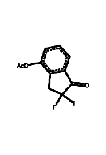 CC(=O)Oc1cccc2c1CC(F)(I)C2=O